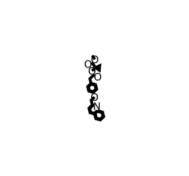 COC(=O)C1(OC(=O)Cc2ccc(OCc3ccc4ccccc4n3)cc2)CC1